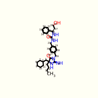 CCCCC1(CC2CCCCC2)NC(=N)N(Cc2ccc(CNC(=O)N[C@H](CCO)c3ccccc3)cc2)C1=O